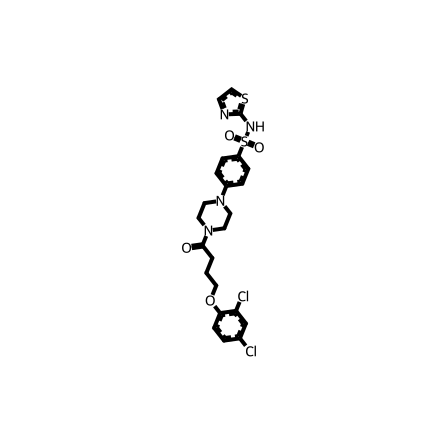 O=C(CCCOc1ccc(Cl)cc1Cl)N1CCN(c2ccc(S(=O)(=O)Nc3nccs3)cc2)CC1